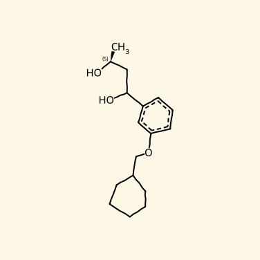 C[C@H](O)CC(O)c1cccc(OCC2CCCCC2)c1